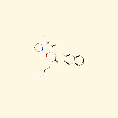 COC(C)(C)C(=O)N(C(=O)[C@@H]1CCCN1)[C@H](Cc1ccc2ccccc2c1)C(=O)NCCCN.Cl